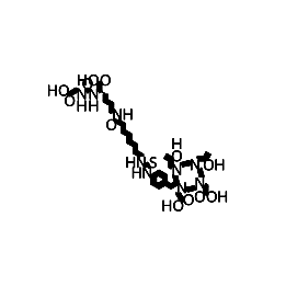 C=C(O)CN1CCN(CC(=O)O)CCN(CC(=O)O)C(Cc2ccc(NC(=S)NCCCCCCCC(=O)NCCCC[C@H](NC(=O)NCC(=O)O)C(=O)O)cc2)CN(CC(=C)O)CC1